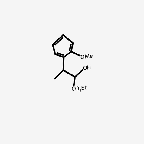 CCOC(=O)C(O)C(C)c1ccccc1OC